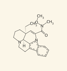 CC[C@@]12C=C(C(=O)N(C)OC)n3c4c(c5ccccc53)CCN(CCC1)[C@H]42